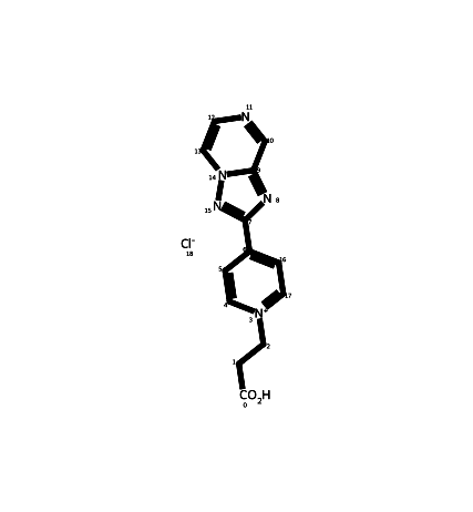 O=C(O)CC[n+]1ccc(-c2nc3cnccn3n2)cc1.[Cl-]